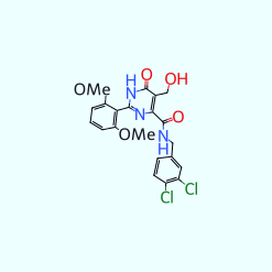 COc1cccc(OC)c1-c1nc(C(=O)NCc2ccc(Cl)c(Cl)c2)c(CO)c(=O)[nH]1